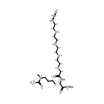 COC(=O)[C@H](CCCCN(C)C(=O)C(F)(F)F)NC(=O)COCCOCCOCCOCCN=[N+]=[N-]